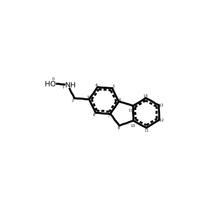 ONCc1ccc2c(c1)Cc1ccccc1-2